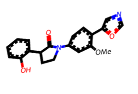 COc1cc(N2CCC(c3ccccc3O)C2=O)ccc1-c1cnco1